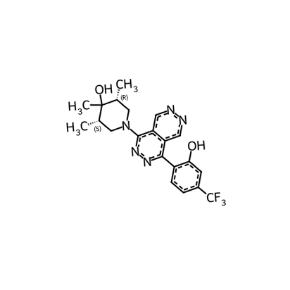 C[C@@H]1CN(c2nnc(-c3ccc(C(F)(F)F)cc3O)c3cnncc23)C[C@H](C)C1(C)O